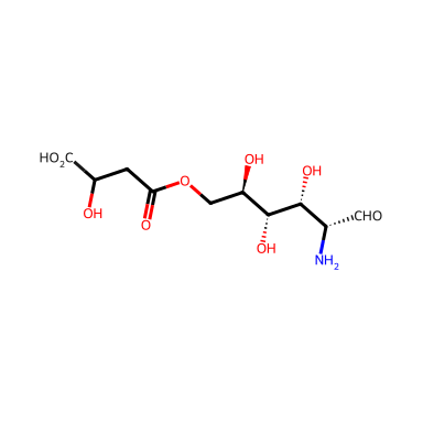 N[C@@H](C=O)[C@@H](O)[C@H](O)[C@H](O)COC(=O)CC(O)C(=O)O